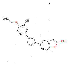 N#Cc1cc(C2=CC(c3ccc4oc(O)cc4c3)=CC2)ccc1OCC=O